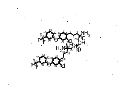 C[C@@](N)(CCCc1ccc(Oc2cccc(C(F)(F)F)c2)cc1Cl)CO[PH](=O)OC[C@](C)(N)CCCc1ccc(Oc2cccc(C(F)(F)F)c2)cc1Cl